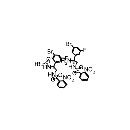 CC(C)(C)[S+]([O-])N[C@H](CNS(=O)(=O)c1ccccc1[N+](=O)[O-])c1cc(F)cc(Br)c1.N[C@H](CNS(=O)(=O)c1ccccc1[N+](=O)[O-])c1cc(F)cc(Br)c1